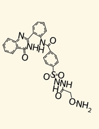 NOCC(=O)NNS(=O)(=O)c1ccc(C(=O)Nc2ccccc2-c2nc3ccccc3c(=O)[nH]2)cc1